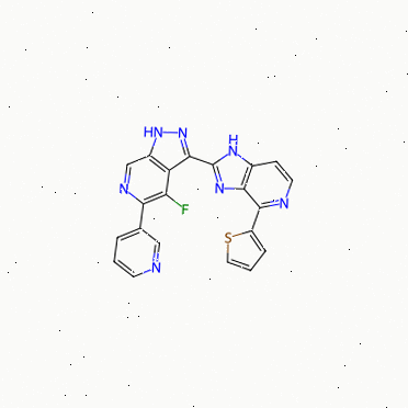 Fc1c(-c2cccnc2)ncc2[nH]nc(-c3nc4c(-c5cccs5)nccc4[nH]3)c12